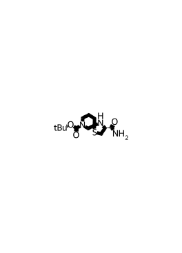 CC(C)(C)OC(=O)N1CCCC2(C1)N[C@H](C(N)=O)CS2